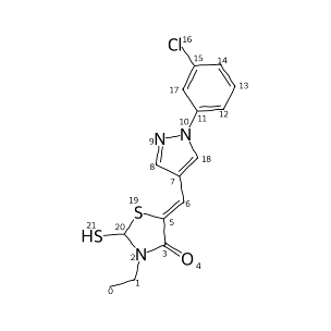 CCN1C(=O)/C(=C/c2cnn(-c3cccc(Cl)c3)c2)SC1S